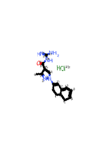 Cc1nn(-c2ccc3ccccc3c2)cc1C(=O)NC(=N)N.Cl